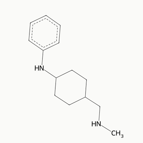 CNCC1CCC(Nc2ccccc2)CC1